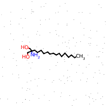 CCCCCCCCCCCCCCCC(N)(CO)CO